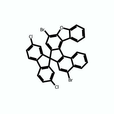 Clc1ccc2c(c1)C1(c3cc(Cl)ccc3-2)c2cc(Br)c3ccccc3c2-c2c1cc(Br)c1oc3ccccc3c21